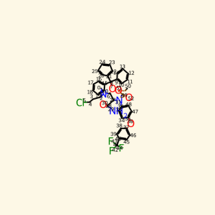 CN(CCCCl)[C@@H](OC(c1ccccc1)(c1ccccc1)c1ccccc1)C(C(N)=O)N(c1ccc(Oc2ccc(C(F)(F)F)cc2)cc1)S(C)(=O)=O